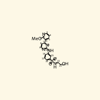 COc1ncccc1-c1ccnc(Nc2cccc(S(=O)(=O)NCCO)c2)n1